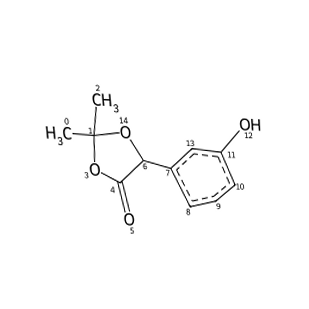 CC1(C)OC(=O)C(c2cccc(O)c2)O1